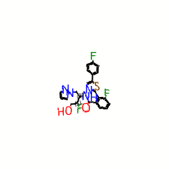 O=C(N[C@H](Cn1cccn1)[C@H](F)CO)c1cccc(F)c1-c1ncc(-c2ccc(F)cc2)s1